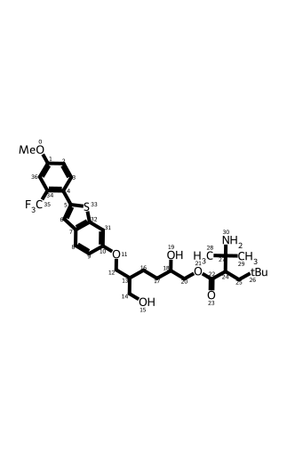 COc1ccc(-c2cc3ccc(OCC(CO)CCC(O)COC(=O)C(CC(C)(C)C)C(C)(C)N)cc3s2)c(C(F)(F)F)c1